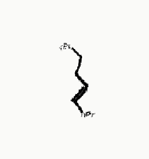 CC[CH]CC/C=C/CCC